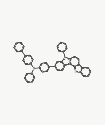 c1ccc(-c2ccc(N(c3ccccc3)c3ccc(-c4ccc5c6c7sc8ccccc8c7ccc6n(-c6ccccc6)c5c4)cc3)cc2)cc1